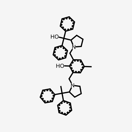 Cc1cc(CN2CCCC2C(C)(c2ccccc2)c2ccccc2)c(O)c(CN2CCCC2C(O)(c2ccccc2)c2ccccc2)c1